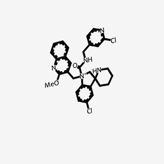 COc1nc2ccccc2cc1C[N+]1(C(=O)NCc2ccnc(Cl)c2)CC2(CCCCN2)c2cc(Cl)ccc21